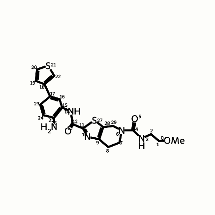 COCCNC(=O)N1CCc2nc(C(=O)Nc3cc(-c4ccsc4)ccc3N)sc2C1